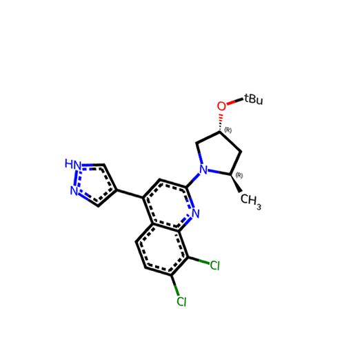 C[C@@H]1C[C@@H](OC(C)(C)C)CN1c1cc(-c2cn[nH]c2)c2ccc(Cl)c(Cl)c2n1